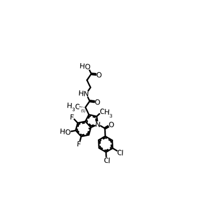 Cc1c([C@H](C)C(=O)NCCC(=O)O)c2c(F)c(O)c(F)cc2n1C(=O)c1ccc(Cl)c(Cl)c1